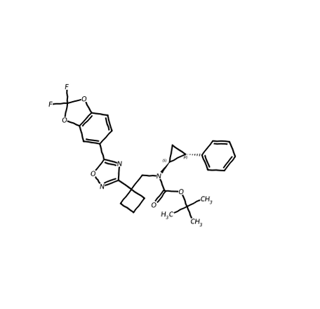 CC(C)(C)OC(=O)N(CC1(c2noc(-c3ccc4c(c3)OC(F)(F)O4)n2)CCC1)[C@H]1C[C@@H]1c1ccccc1